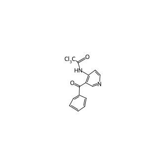 O=C(c1ccccc1)c1cnccc1NC(=O)C(Cl)(Cl)Cl